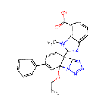 CCOC12C=C(c3ccccc3)C=CC1(c1nc3cccc(C(=O)O)c3n1C)c1nnnn12